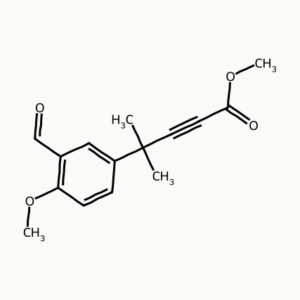 COC(=O)C#CC(C)(C)c1ccc(OC)c(C=O)c1